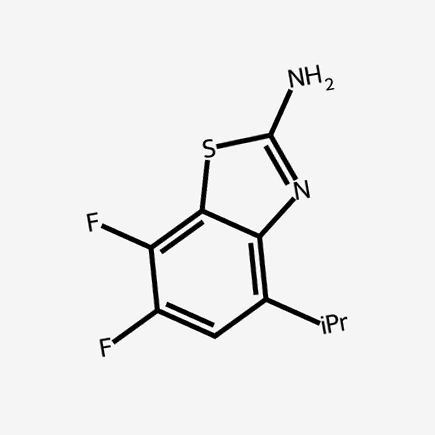 CC(C)c1cc(F)c(F)c2sc(N)nc12